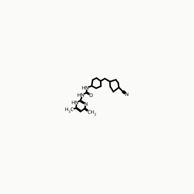 C=C1C=C(C)NC(NC(=O)NC2CCC(CC3CCC(C#N)CC3)CC2)=N1